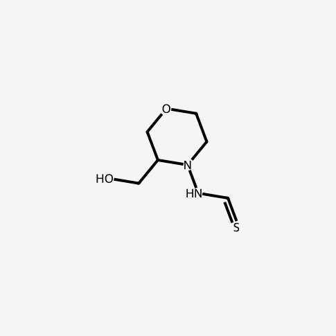 OCC1COCCN1NC=S